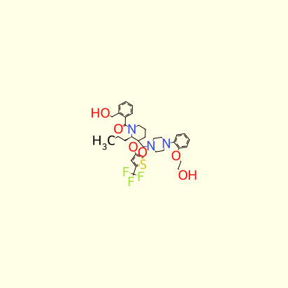 CCC[C@H]1N(C(=O)c2ccccc2CO)CCC[C@@]1(Oc1csc(C(F)(F)F)c1)C(=O)N1CCN(c2ccccc2OCCO)CC1